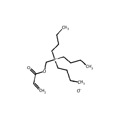 C=CC(=O)OC[P+](CCCC)(CCCC)CCCC.[Cl-]